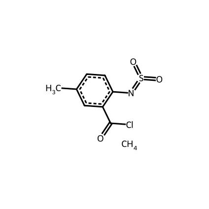 C.Cc1ccc(N=S(=O)=O)c(C(=O)Cl)c1